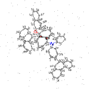 c1ccc(N(c2ccc(-c3cc4ccccc4c4ccccc34)cc2)c2ccc(-c3cc4ccccc4c4ccccc34)cc2)c(-c2ccc3oc4cc5ccccc5cc4c3c2)c1